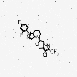 Cc1c(Cl)c(C(F)(F)F)nn1CC(=O)N1CCCC2C1C=NN2c1ccc(F)cc1F